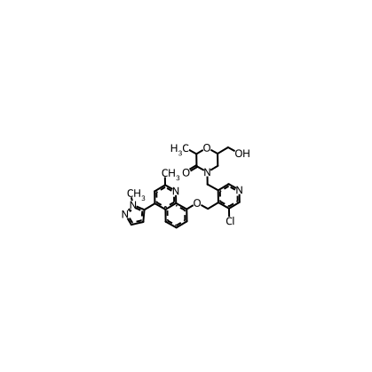 Cc1cc(-c2ccnn2C)c2cccc(OCc3c(Cl)cncc3CN3CC(CO)OC(C)C3=O)c2n1